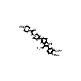 COc1ccc(-c2[nH]c3ccc(C4CCN(CC(=O)N5CCN(C(C)=O)CC5)CC4)cc3c2CC(F)(F)F)cc1OC